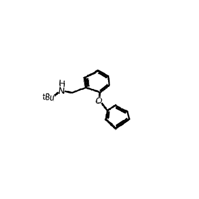 CC(C)(C)NCc1ccccc1Oc1ccccc1